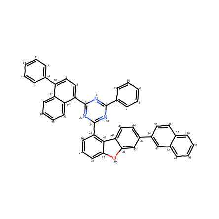 c1ccc(-c2nc(-c3ccc(-c4ccccc4)c4ccccc34)nc(-c3cccc4oc5cc(-c6ccc7ccccc7c6)ccc5c34)n2)cc1